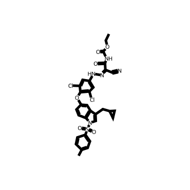 CCOC(=O)NC(=O)C(C#N)=NNc1cc(Cl)c(Oc2ccc3c(c2)c(CC2CC2)cn3S(=O)(=O)c2ccc(C)cc2)c(Cl)c1